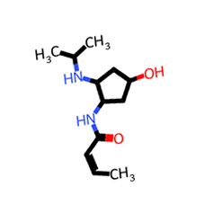 C/C=C\C(=O)NC1CC(O)CC1NC(C)C